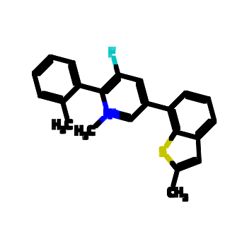 Cc1cc2cccc(-c3cc(F)c(-c4ccccc4C)[n+](C)c3)c2s1